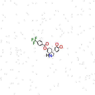 COc1ccc([C@@]23CCC(OC(=O)c4ccc(C(F)(F)F)cc4)=C[C@@H]2N(C)CC3)cc1OC